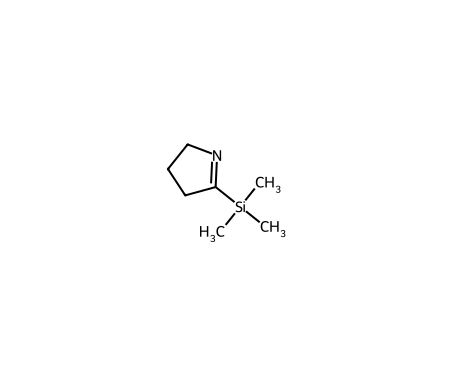 C[Si](C)(C)C1=NCCC1